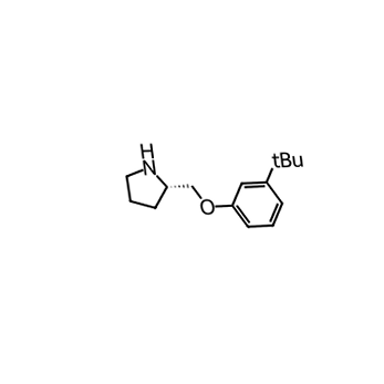 CC(C)(C)c1cccc(OC[C@@H]2CCCN2)c1